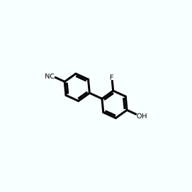 N#Cc1ccc(-c2ccc(O)cc2F)cc1